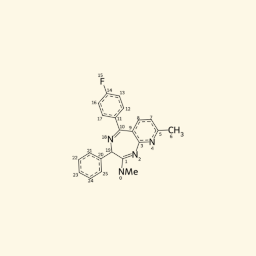 CNC1=Nc2nc(C)ccc2C(c2ccc(F)cc2)=NC1c1ccccc1